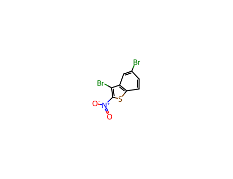 O=[N+]([O-])c1sc2ccc(Br)cc2c1Br